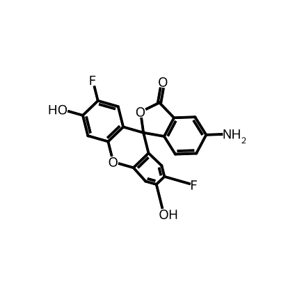 Nc1ccc2c(c1)C(=O)OC21c2cc(F)c(O)cc2Oc2cc(O)c(F)cc21